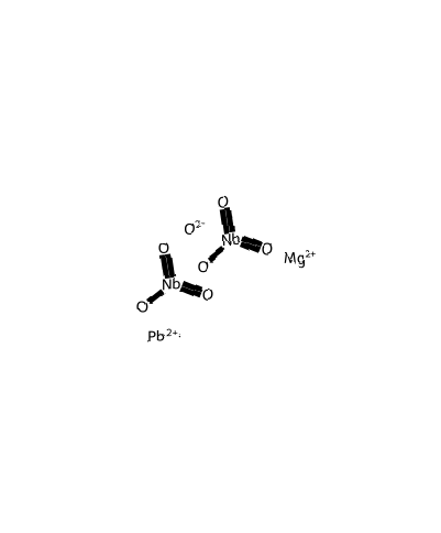 [Mg+2].[O-2].[O]=[Nb](=[O])[O-].[O]=[Nb](=[O])[O-].[Pb+2]